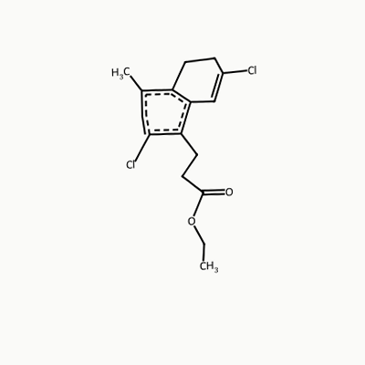 CCOC(=O)CCc1c(Cl)cc(C)c2c1C=C(Cl)CC2